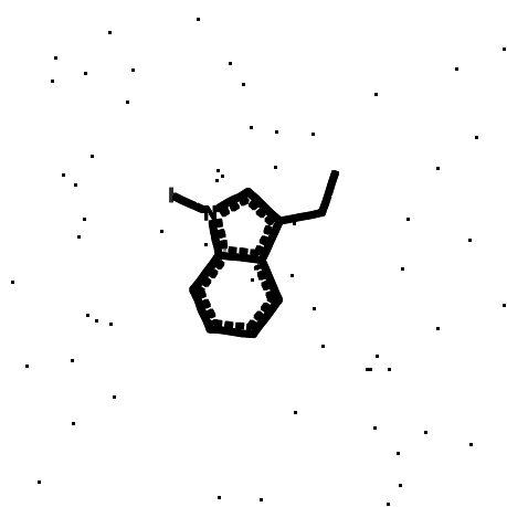 CCc1cn(I)c2ccccc12